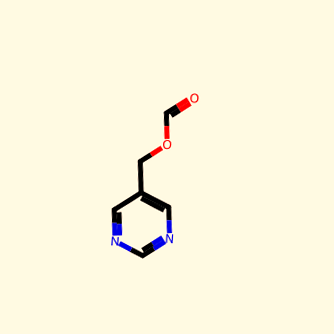 O=COCc1cncnc1